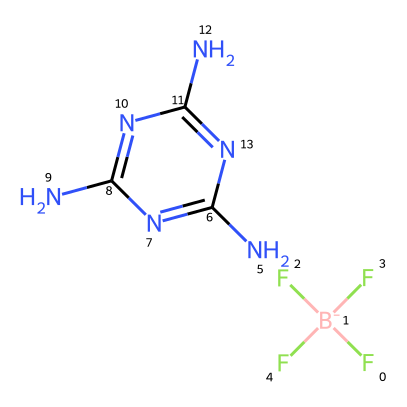 F[B-](F)(F)F.Nc1nc(N)nc(N)n1